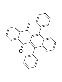 C=C1c2ccccc2C(=O)c2c1c(-c1ccccc1)c1ccccc1c2-c1ccccc1